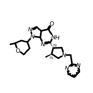 CC1CC(N2N=CC3C(=O)NC([C@@H]4CN(Cc5ncccn5)C[C@H]4C)=NC32)CCO1